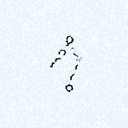 N[C@@H](CCC(=O)N1CCC(Nc2nc(NCc3nnn(CCCNCCCNC4CCCCC4)n3)nc3ccccc23)CC1)C(=O)O